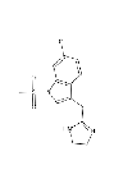 CS(=O)(=O)n1cc(CC2=NCCN2)c2ccc(Cl)cc21